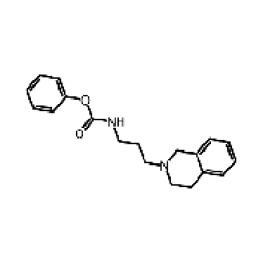 O=C(NCCCN1CCc2ccccc2C1)Oc1ccccc1